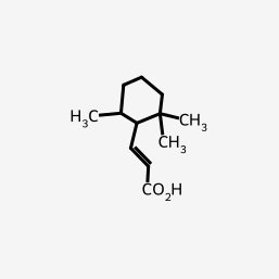 CC1CCCC(C)(C)C1C=CC(=O)O